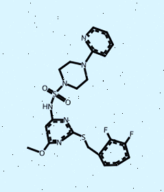 COc1cc(NS(=O)(=O)N2CCN(c3ccccn3)CC2)nc(SCc2cccc(F)c2F)n1